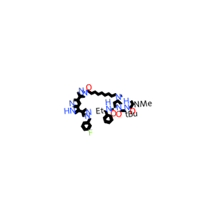 CC[C@@H](NC(=O)[C@@H]1C[C@H](N(C)CCCCCCCCC(=O)n2cc(-c3cnc4[nH]cc(-c5cnn(Cc6cccc(F)c6)c5)c4c3)cn2)CN1C(=O)[C@@H](NC(=O)[C@H](C)NC)C(C)(C)C)c1ccccc1